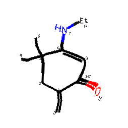 C=C1CC(C)(C)C(NCC)=CC1=O